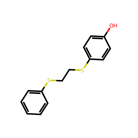 Oc1ccc(SCCSc2ccccc2)cc1